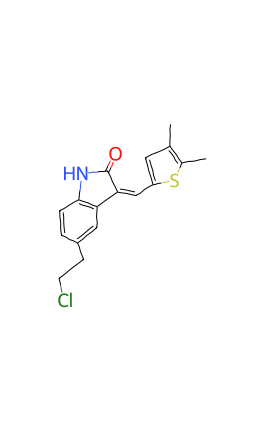 Cc1cc(C=C2C(=O)Nc3ccc(CCCl)cc32)sc1C